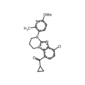 COc1ccc(N2CCCn3c2nc2c(Cl)ccc(C(=O)C4CC4)c23)c(C)n1